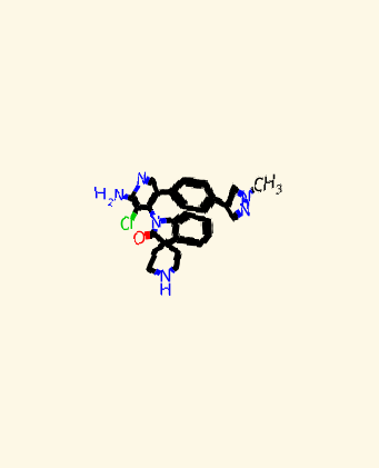 Cn1cc(-c2ccc(-c3cnc(N)c(Cl)c3N3C(=O)C4(CCNCC4)c4ccccc43)cc2)cn1